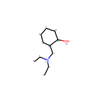 CCN(CC)CC1CCCCC1O